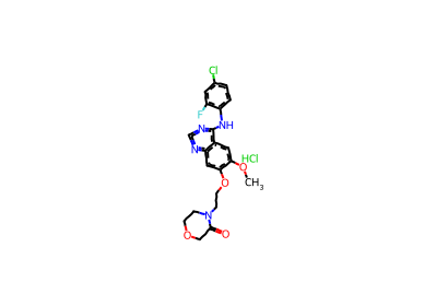 COc1cc2c(Nc3ccc(Cl)cc3F)ncnc2cc1OCCN1CCOCC1=O.Cl